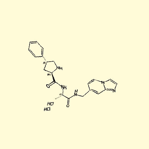 C[C@H](NC(=O)[C@H]1C[C@H](c2ccccc2)CN1)C(=O)NCc1ccn2ccnc2c1.Cl.Cl